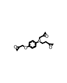 c1cc(N(CCC2CO2)CC2CO2)ccc1OCC1CO1